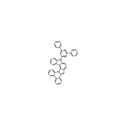 c1ccc(-c2cc(-n3c4ccccc4c4c3ccc3cc5c6ccccc6c6ccccc6n5c34)nc(-c3ccccc3)n2)cc1